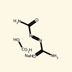 NC(=O)N=NC(N)=O.O=C(O)O.[NaH]